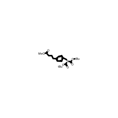 COC(=O)CCCc1ccc(CN(C(=O)OC(C)(C)C)C(=O)OC(C)(C)C)cc1